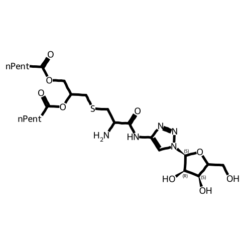 CCCCCC(=O)OCC(CSCC(N)C(=O)Nc1cn([C@H]2OC(CO)[C@@H](O)[C@H]2O)nn1)OC(=O)CCCCC